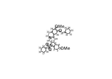 COc1ccc2c(c1)c1c(n2S(=O)(=O)c2ccccc2)CN2CCc3cc(OC)c(OCc4ccccc4)cc3C2C1